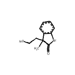 CC(=O)OCCC1(C)C(=O)Nc2ccccc21